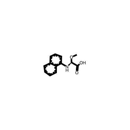 CO[C@H](Nc1cccc2ccccc12)C(=O)O